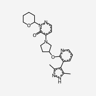 Cc1n[nH]c(C)c1-c1cccnc1OC1CCN(c2ccnn(C3CCCCO3)c2=O)C1